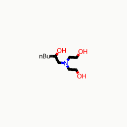 CCCCC(O)CN(CCO)CCO